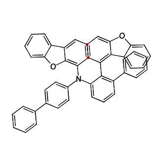 c1ccc(-c2ccc(N(c3cccc(-c4ccccc4)c3-c3cccc4oc5ccccc5c34)c3cccc4c3oc3ccccc34)cc2)cc1